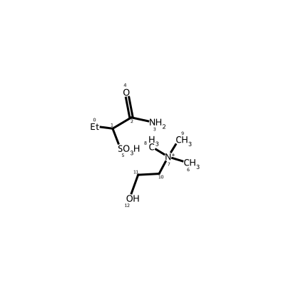 CCC(C(N)=O)S(=O)(=O)O.C[N+](C)(C)CCO